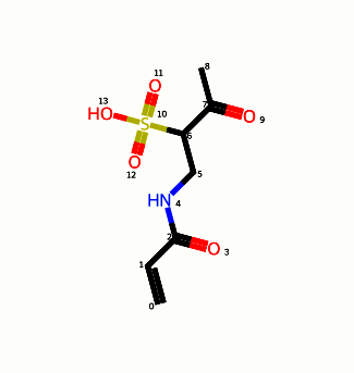 C=CC(=O)NCC(C(C)=O)S(=O)(=O)O